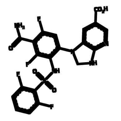 NC(=O)c1c(F)cc(N2CNc3ncc(C(=O)O)cc32)c(NS(=O)(=O)c2c(F)cccc2F)c1F